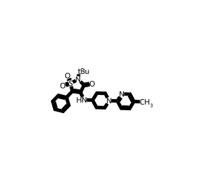 Cc1ccc(N2CCC(NC3=C(c4ccccc4)S(=O)(=O)N(C(C)(C)C)C3=O)CC2)nc1